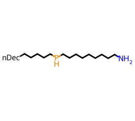 CCCCCCCCCCCCCCCPCCCCCCCCCN